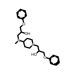 CN(CC(O)COc1ccccc1)C1CCN(CC(O)COc2cc#ccc2)CC1